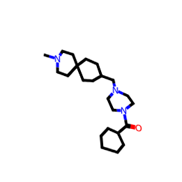 CN1CCC2(CCC(CN3CCN(C(=O)C4CCCCC4)CC3)CC2)CC1